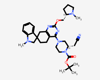 CN1CC2(CCc3c(nc(OC[C@@H]4CCCN4C)nc3N3CCN(C(=O)OC(C)(C)C)[C@@H](CC#N)C3)C2)c2ccccc21